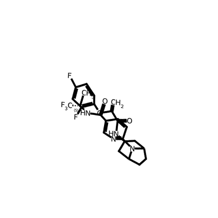 C=C(Oc1ccc(F)cc1F)C(=O)NC1CC2CCC(C1)N2c1ccc(C(=O)N[C@@H](C)C(F)(F)F)cn1